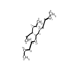 CCOCCO.COCCOCCOCCOC